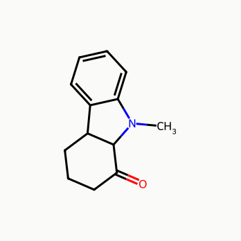 CN1c2ccccc2C2CCCC(=O)C21